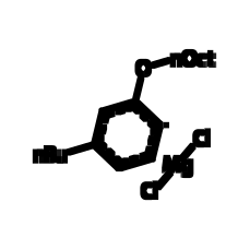 CCCCCCCCOc1[c]ccc(CCCC)c1.[Cl][Mg][Cl]